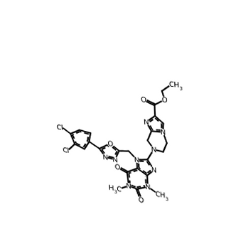 CCOC(=O)c1cn2c(n1)CN(c1nc3c(c(=O)n(C)c(=O)n3C)n1Cc1nnc(-c3ccc(Cl)c(Cl)c3)o1)CC2